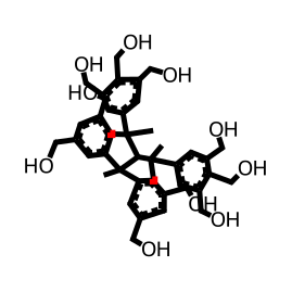 CC(C)(c1cc(CO)c(CO)c(CO)c1)C(C(C)(C)c1cc(CO)c(CO)c(CO)c1)C(C)(c1cc(CO)cc(CO)c1)c1cc(CO)cc(CO)c1